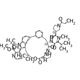 C=CC(=O)N1CC[C@H](C(=O)N(C)[C@H](C(=O)N[C@H]2Cc3cccc(c3)-c3ccc4c(c3)c(c(-c3cccnc3[C@H](C)OC)n4C(C)F)CC(C)(C)COC(=O)[C@@H]3CCCN(N3)C2=O)C(C)C)C1